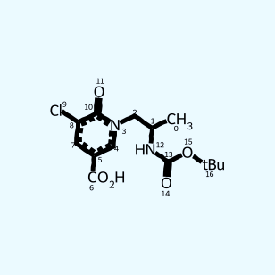 CC(Cn1cc(C(=O)O)cc(Cl)c1=O)NC(=O)OC(C)(C)C